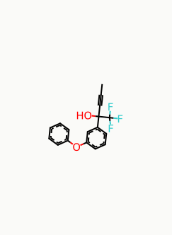 CC#CC(O)(c1cccc(Oc2ccccc2)c1)C(F)(F)F